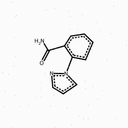 NC(=O)c1ccccc1-n1cccn1